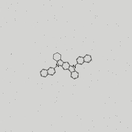 c1ccc2cc(-n3c4c(c5cc6c(cc53)c3ccccc3n6-c3ccc5ccccc5c3)CCCC4)ccc2c1